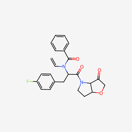 C=CN(C(=O)c1ccccc1)C(Cc1ccc(F)cc1)C(=O)N1CCC2OCC(=O)C21